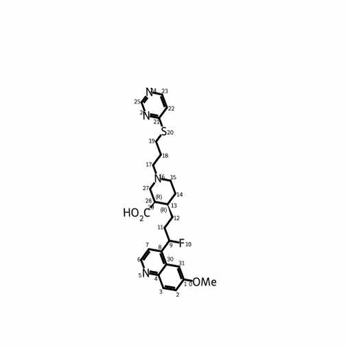 COc1ccc2nccc(C(F)CC[C@@H]3CCN(CCCSc4ccncn4)C[C@@H]3C(=O)O)c2c1